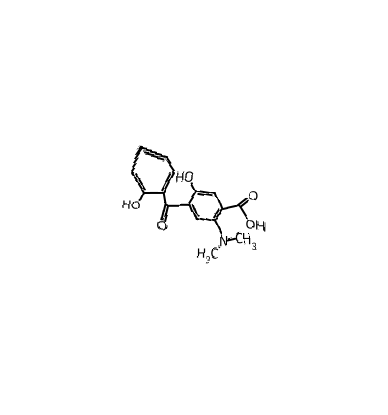 CN(C)c1cc(C(=O)c2ccccc2O)c(O)cc1C(=O)O